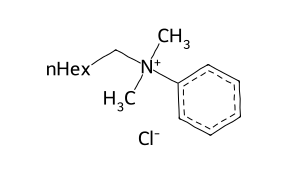 CCCCCCC[N+](C)(C)c1ccccc1.[Cl-]